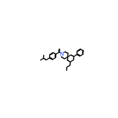 C=C(c1ccc(CC(C)C)cc1)N1CCC2(CC1)CC(CCC)CC(c1ccccc1)C2